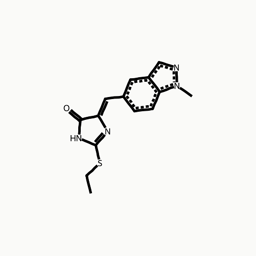 CCSC1=N/C(=C\c2ccc3c(cnn3C)c2)C(=O)N1